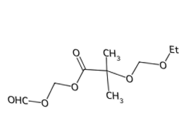 CCOCOC(C)(C)C(=O)OCOC=O